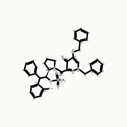 CS(=O)(=O)OC(C(c1ccccc1)c1ccccc1F)[C@H]1CCCN1C(=O)c1nn(Cc2ccccc2)cc(OCc2ccccc2)c1=O